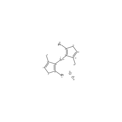 CC1=CCC(C(C)C)=[C]1[Zr+2][C]1=C(C(C)C)CC=C1C.[Cl-].[Cl-]